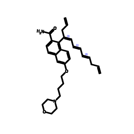 C=CC/C=C/C=C/C=C(/CC=C)c1c(C(N)=O)ccc2cc(OCCCCN3CCOCC3)ccc12